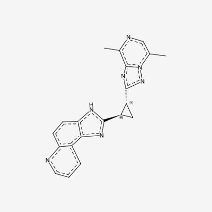 Cc1ncc(C)n2nc([C@@H]3C[C@H]3c3nc4c(ccc5ncccc54)[nH]3)nc12